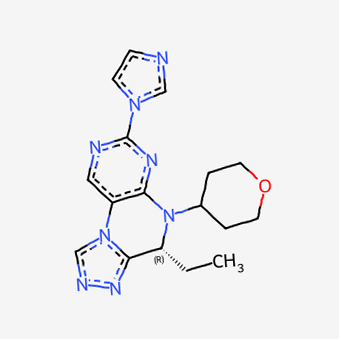 CC[C@@H]1c2nncn2-c2cnc(-n3ccnc3)nc2N1C1CCOCC1